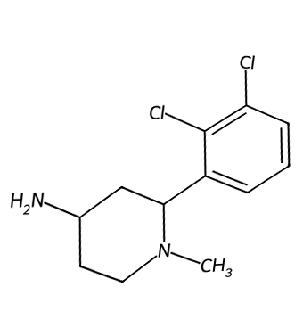 CN1CCC(N)CC1c1cccc(Cl)c1Cl